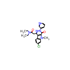 CCN(CC)C(=O)Cc1nn(-c2cccnc2)c(=O)c2c1c1ccc(Cl)cc1n2C